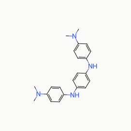 CN(C)c1ccc(Nc2ccc(Nc3ccc(N(C)C)cc3)cc2)cc1